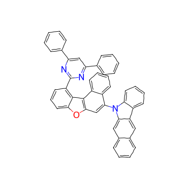 c1ccc(-c2cc(-c3ccccc3)nc(-c3cccc4oc5cc(-n6c7ccccc7c7cc8ccccc8cc76)c6ccccc6c5c34)n2)cc1